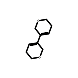 [C]1SCCC=C1C1=CCCSC1